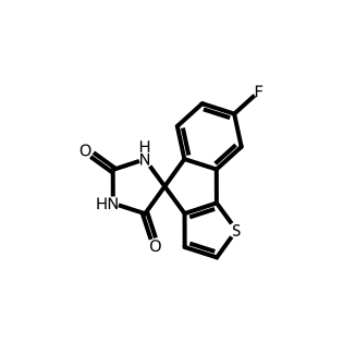 O=C1NC(=O)C2(N1)c1ccc(F)cc1-c1sccc12